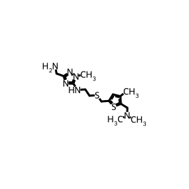 Cc1cc(CSCCNc2nc(CN)nn2C)sc1CN(C)C